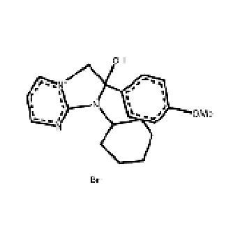 COc1ccc(C2(O)C[n+]3cccnc3N2C2CCCCC2)cc1.[Br-]